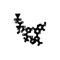 CC[C@@H]1C[C@]1(NC(=O)[C@@H]1C[C@@H](Oc2cc(-c3nc(C(C)C)cs3)nc3c(C)c(OC)ccc23)CN1C(=O)[C@@H](Nc1cccs1)C(C)(C)C)C(=O)NS(=O)(=O)C1CC1